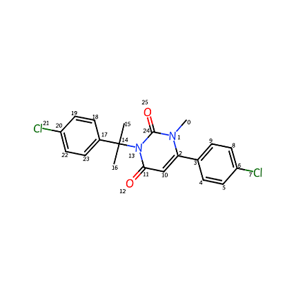 Cn1c(-c2ccc(Cl)cc2)cc(=O)n(C(C)(C)c2ccc(Cl)cc2)c1=O